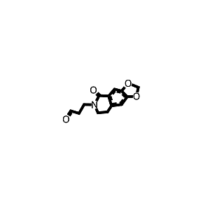 O=CCCN1CCc2cc3c(cc2C1=O)OCO3